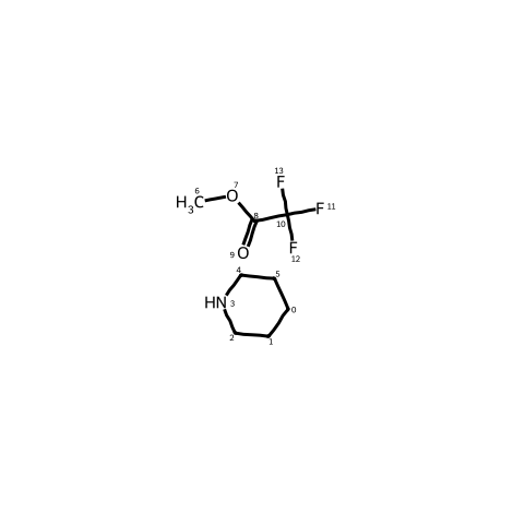 C1CCNCC1.COC(=O)C(F)(F)F